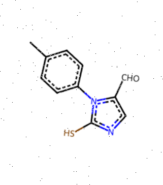 Cc1ccc(-n2c(C=O)cnc2S)cc1